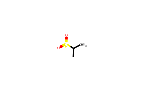 CC([SiH3])[SH](=O)=O